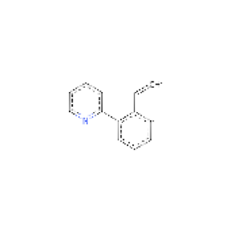 [CH]=Cc1[c]cccc1-c1ccccn1